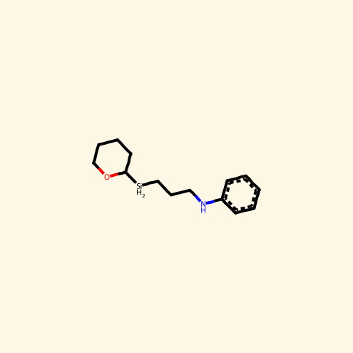 c1ccc(NCCC[SiH2]C2CCCCO2)cc1